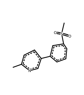 Cc1ccc(-c2cccc(S(C)(=O)=O)c2)cn1